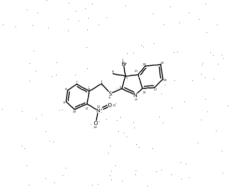 CC1(Br)C(SCc2ccccc2[N+](=O)[O-])=Nc2ccccc21